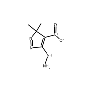 CC1(C)N=NC(NN)=C1[N+](=O)[O-]